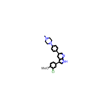 COc1ccc(-c2c[nH]c3ncc(-c4ccc(N5CCN(C)CC5)cc4)cc23)cc1Cl